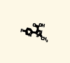 Cc1nc(C(=O)O)c(-c2ccc(F)cn2)s1